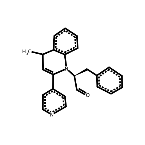 CC1C=C(c2ccncc2)N([C@H](C=O)Cc2ccccc2)c2ccccc21